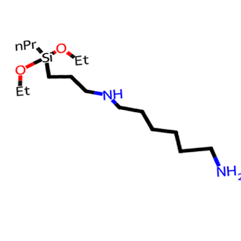 CCC[Si](CCCNCCCCCCN)(OCC)OCC